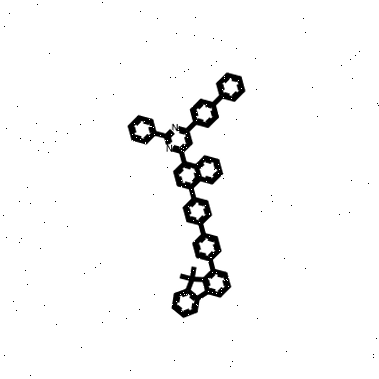 CC1(C)c2ccccc2-c2cccc(-c3ccc(-c4ccc(-c5ccc(-c6cc(-c7ccc(-c8ccccc8)cc7)nc(-c7ccccc7)n6)c6ccccc56)cc4)cc3)c21